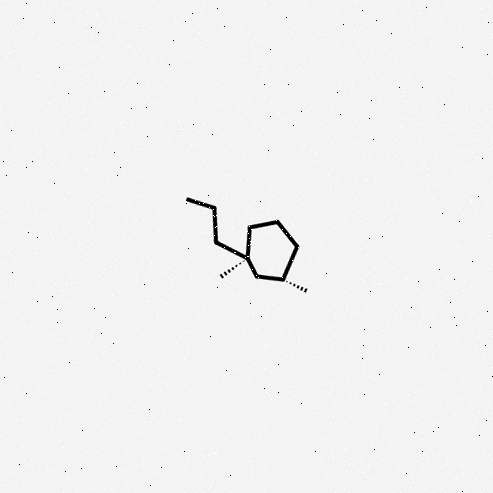 CCC[C@@]1(C)CCC[C@H](C)C1